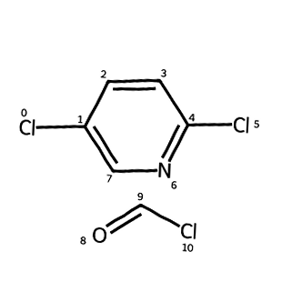 Clc1ccc(Cl)nc1.O=CCl